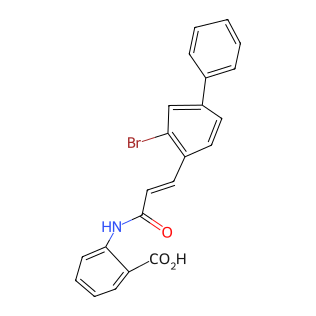 O=C(/C=C/c1ccc(-c2ccccc2)cc1Br)Nc1ccccc1C(=O)O